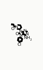 C=CC(=O)N1CCCC(n2c(=O)n(-c3ccc(Cl)cc3)c3c(N)ncnc32)C1